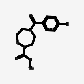 CC(C)(C)OC(=O)N1CCN(C(=O)c2ccc(Cl)cc2)CCO1